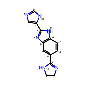 c1ncc(-c2nc3cc(C4=NCCN4)ccc3[nH]2)[nH]1